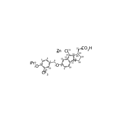 CC(C)Oc1ccc(COc2ccc3c(c2)c(Cl)c2n3CC[C@@H]2CC(=O)O)cc1C(F)(F)F.[Zn]